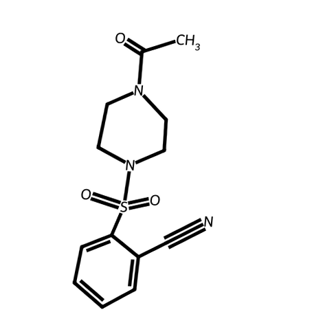 CC(=O)N1CCN(S(=O)(=O)c2ccccc2C#N)CC1